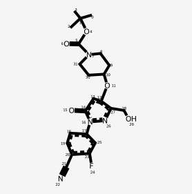 CC(C)(C)OC(=O)N1CCC(Oc2cc(=O)n(-c3ccc(C#N)c(F)c3)nc2CO)CC1